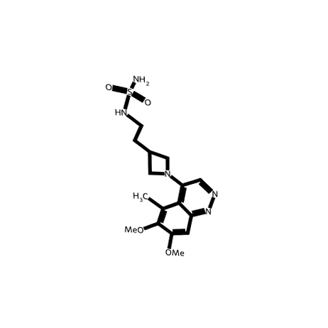 COc1cc2nncc(N3CC(CCNS(N)(=O)=O)C3)c2c(C)c1OC